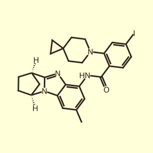 Cc1cc(NC(=O)c2ccc(I)cc2N2CCC3(CC2)CC3)c2nc3n(c2c1)[C@H]1CC[C@@H]3C1